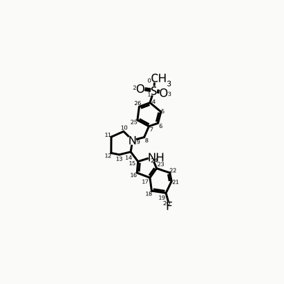 CS(=O)(=O)c1ccc(CN2CCCCC2c2cc3cc(F)ccc3[nH]2)cc1